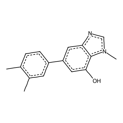 Cc1ccc(-c2cc(O)c3c(c2)ncn3C)cc1C